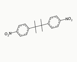 CC(C)(c1ccc([N+](=O)[O-])cc1)C(C)(C)c1ccc([N+](=O)[O-])cc1